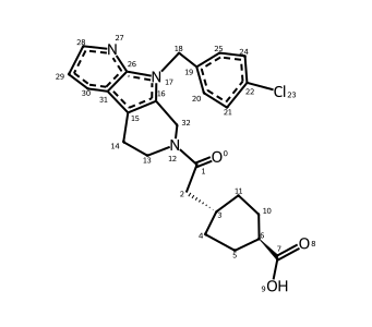 O=C(C[C@H]1CC[C@H](C(=O)O)CC1)N1CCc2c(n(Cc3ccc(Cl)cc3)c3ncccc23)C1